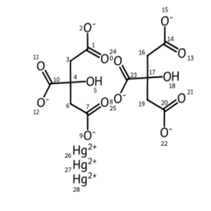 O=C([O-])CC(O)(CC(=O)[O-])C(=O)[O-].O=C([O-])CC(O)(CC(=O)[O-])C(=O)[O-].[Hg+2].[Hg+2].[Hg+2]